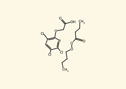 CCCCOOC(=O)CCC.O=C(O)COc1nc(Cl)c(Cl)cc1Cl